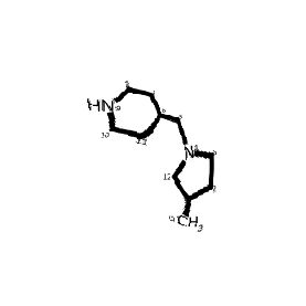 CC1CCN(CC2CCNCC2)C1